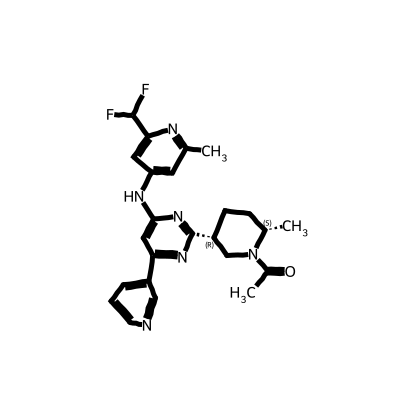 CC(=O)N1C[C@H](c2nc(Nc3cc(C)nc(C(F)F)c3)cc(-c3cccnc3)n2)CC[C@@H]1C